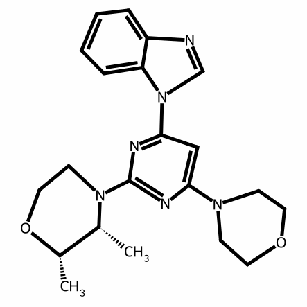 C[C@@H]1OCCN(c2nc(N3CCOCC3)cc(-n3cnc4ccccc43)n2)[C@@H]1C